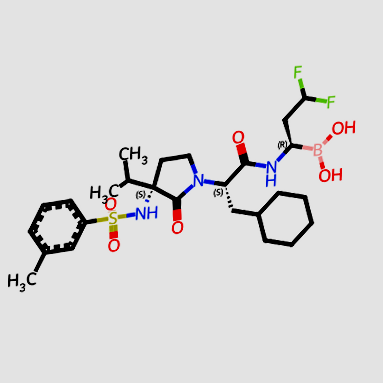 Cc1cccc(S(=O)(=O)N[C@]2(C(C)C)CCN([C@@H](CC3CCCCC3)C(=O)N[C@@H](CC(F)F)B(O)O)C2=O)c1